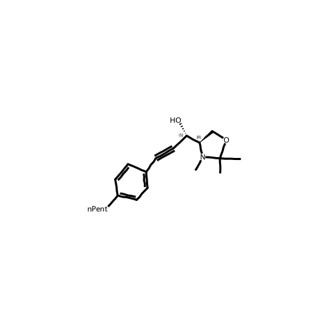 CCCCCc1ccc(C#C[C@H](O)[C@H]2COC(C)(C)N2C)cc1